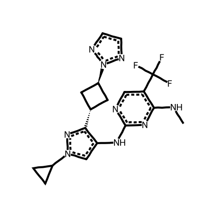 CNc1nc(Nc2cn(C3CC3)nc2[C@H]2C[C@H](n3nccn3)C2)ncc1C(F)(F)F